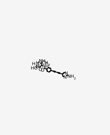 CC(C)(N)C(NC(=O)c1ccc(C#CC#Cc2cnc(N)nc2)cc1)C(=O)NO